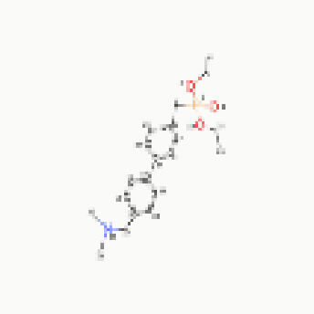 CCOP(=O)(Cc1ccc(-c2ccc(CN(C)C)cc2)cc1)OCC